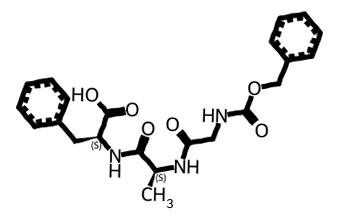 C[C@H](NC(=O)CNC(=O)OCc1ccccc1)C(=O)N[C@@H](Cc1ccccc1)C(=O)O